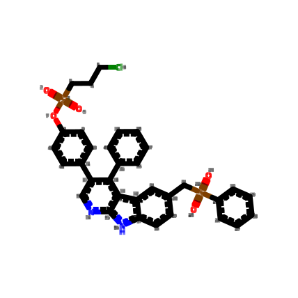 O=S(=O)(CCCCl)Oc1ccc(-c2cnc3[nH]c4ccc(CS(=O)(=O)c5ccccc5)cc4c3c2-c2ccccc2)cc1